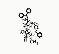 CCNC(=O)[C@H]1O[C@@H](n2cnc3c(NCC(c4ccccc4)c4ccccc4)nc(NC4CCN(Cc5ccccc5)C4)nc32)[C@H](O)[C@H]1O